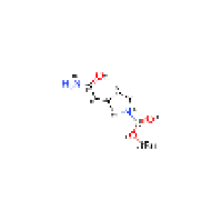 CC(C)(C)OC(=O)N1CC[C@H](CC(N)=O)C1